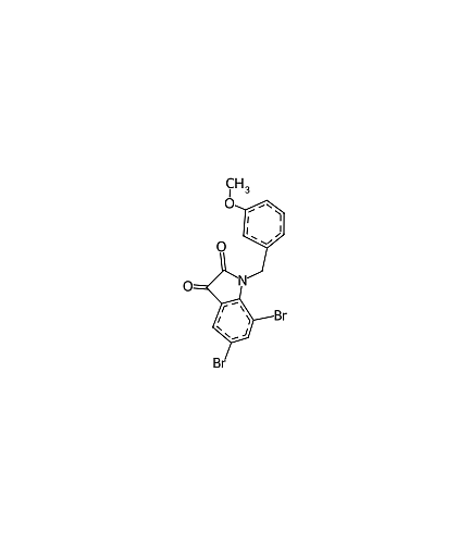 COc1cccc(CN2C(=O)C(=O)c3cc(Br)cc(Br)c32)c1